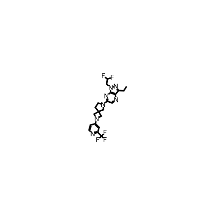 CCc1nn(CC(F)F)c2nc(N3CCC4(CN(c5ccnc(C(F)(F)F)c5)C4)C3)cnc12